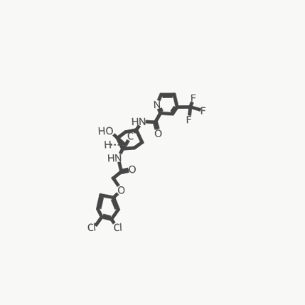 O=C(COc1ccc(Cl)c(Cl)c1)NC12CCC(NC(=O)c3cc(C(F)(F)F)ccn3)(CC1)C[C@@H]2O